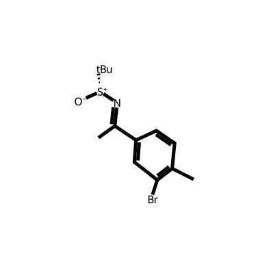 C/C(=N\[S@+]([O-])C(C)(C)C)c1ccc(C)c(Br)c1